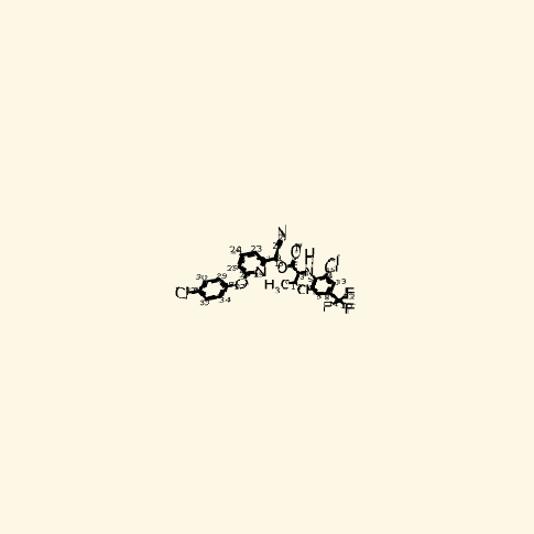 CC(C)C(Nc1ccc(C(F)(F)F)cc1Cl)C(=O)OC(C#N)c1cccc(Oc2ccc(Cl)cc2)n1